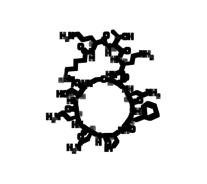 CC[C@H](C)CCCCC(=O)N[C@@H](CCCN)C(=O)N[C@H](C(=O)N[C@@H](CCN)C(=O)N[C@H]1CCNC(=O)[C@H]([C@@H](C)O)NC(=O)[C@H](CCN)NC(=O)[C@H](CCN)NC(=O)[C@H](CC(C)C)NC(=O)[C@@H](Cc2ccccc2)NC(=O)[C@H](CCN)NC1=O)[C@@H](C)O